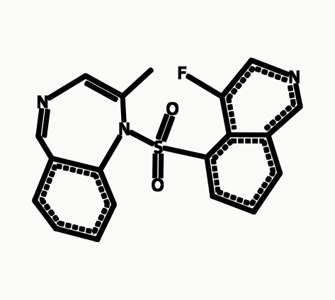 CC1=CN=Cc2ccccc2N1S(=O)(=O)c1cccc2cncc(F)c12